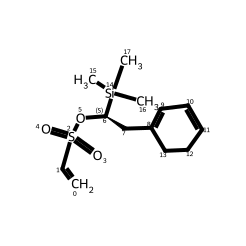 C=CS(=O)(=O)O[C@H](CC1=CC=CCC1)[Si](C)(C)C